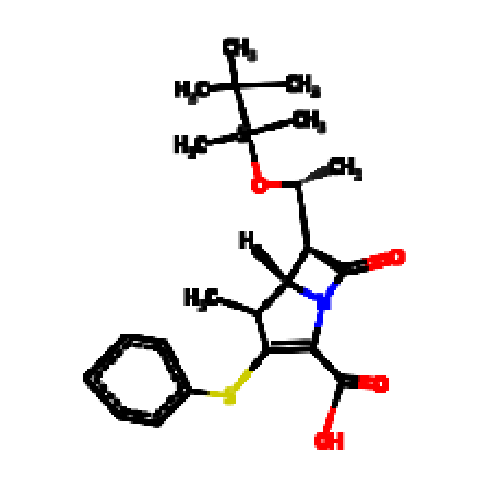 CC1C(Sc2ccccc2)=C(C(=O)O)N2C(=O)[C@H]([C@@H](C)O[Si](C)(C)C(C)(C)C)[C@@H]12